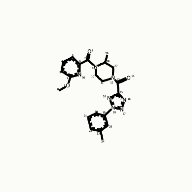 COc1cccc(C(=O)N2CCN(C(=O)c3nnn(-c4cccc(C)c4)n3)CC2C)n1